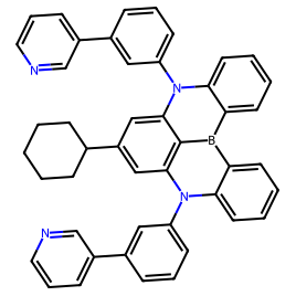 c1cncc(-c2cccc(N3c4ccccc4B4c5ccccc5N(c5cccc(-c6cccnc6)c5)c5cc(C6CCCCC6)cc3c54)c2)c1